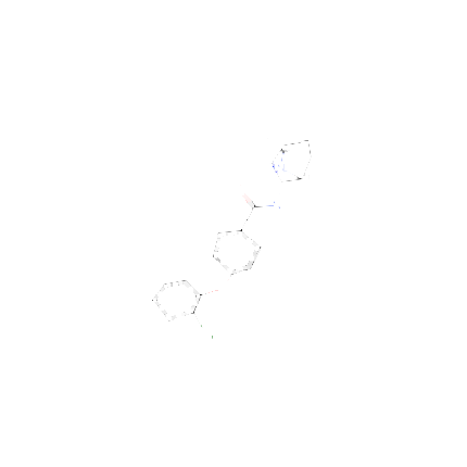 O=C(N[C@@H]1C[C@H]2CC[C@@H]1N2)c1ccc(Oc2ccccc2Cl)cc1